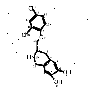 Oc1cc2c(cc1O)CC(COc1ccc(Cl)cc1Cl)NC2